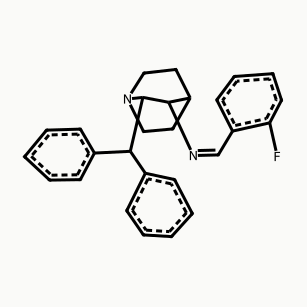 Fc1ccccc1/C=N\C1C2CCN(CC2)C1C(c1ccccc1)c1ccccc1